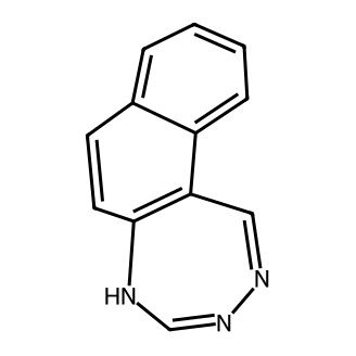 C1=NN=Cc2c(ccc3ccccc23)N1